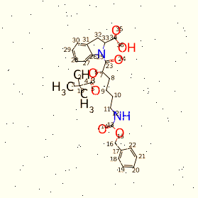 CC(C)(C)C(=O)OC(CCCCNC(=O)OCc1ccccc1)C(=O)N1c2ccccc2CC1C(=O)O